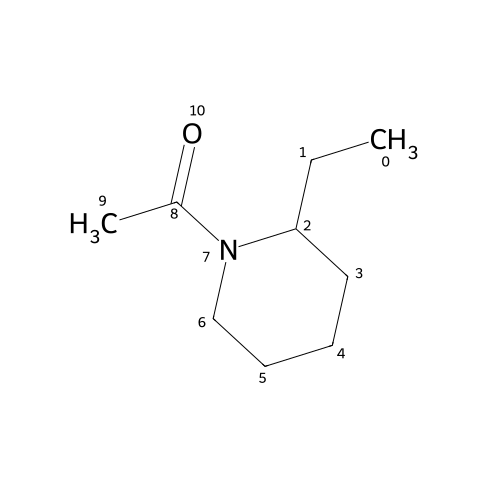 CCC1CCCCN1C(C)=O